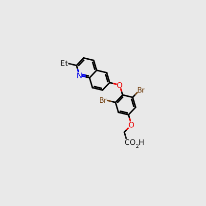 CCc1ccc2cc(Oc3c(Br)cc(OCC(=O)O)cc3Br)ccc2n1